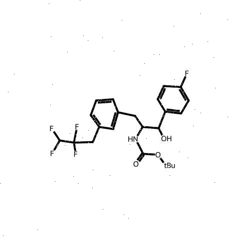 CC(C)(C)OC(=O)NC(Cc1cccc(CC(F)(F)C(F)F)c1)C(O)c1ccc(F)cc1